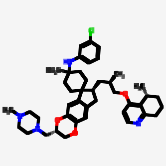 C[C@@H](COc1ccnc2c1[C@H](C)CCC2)C[C@H]1Cc2cc3c(cc2C12CCC(Nc1cccc(Cl)c1)(C(=O)O)CC2)O[C@@H](CN1CCN(C)CC1)CO3